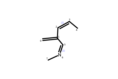 C=C(/C=C\C)/C=N\C